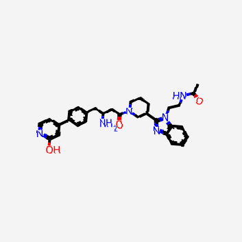 CC(=O)NCCn1c(C2CCCN(C(=O)CC(N)Cc3ccc(-c4ccnc(O)c4)cc3)C2)nc2ccccc21